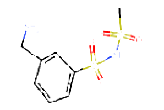 CS(=O)(=O)NS(=O)(=O)c1cccc(CN)c1